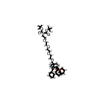 CC(C)(C)OC(=O)N(CCOCCOCCOCCOCC12CN3C(c4ccccc4)N(C1)C(c1ccccc1)N(C2)C3c1ccccc1)C(=O)OC(C)(C)C